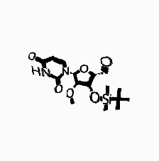 CO[C@@H]1[C@H](O[Si](C)(C)C(C)(C)C)[C@@H](C=O)O[C@H]1n1ccc(=O)[nH]c1=O